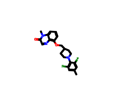 Cc1cc(F)c(N2CCC(COc3cccc4c3ncc(=O)n4C)CC2)c(F)c1